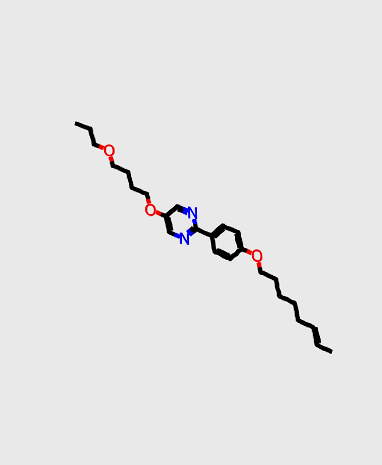 CC=CCCCCCOc1ccc(-c2ncc(OCCCCOCCC)cn2)cc1